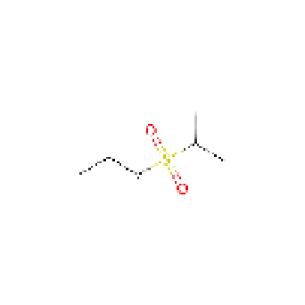 CC[CH]S(=O)(=O)C(C)C